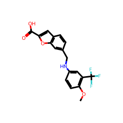 COc1ccc(NCc2ccc3cc(C(=O)O)oc3c2)cc1C(F)(F)F